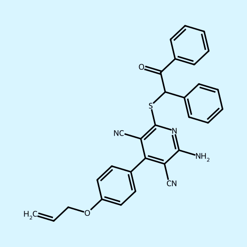 C=CCOc1ccc(-c2c(C#N)c(N)nc(SC(C(=O)c3ccccc3)c3ccccc3)c2C#N)cc1